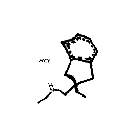 CNCC1(C)Cc2ccccc2C1.Cl